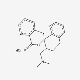 CN(C)CC1CCc2ccccc2C12Cc1ccccc1C(=O)O2.Cl